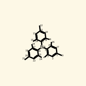 Cc1cc(C)[c]([Bi]([c]2c(C)cc(C)cc2C)[c]2c(C)cc(C)cc2C)c(C)c1